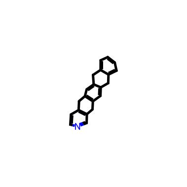 c1ccc2c(c1)Cc1cc3c(cc1C2)Cc1cnccc1C3